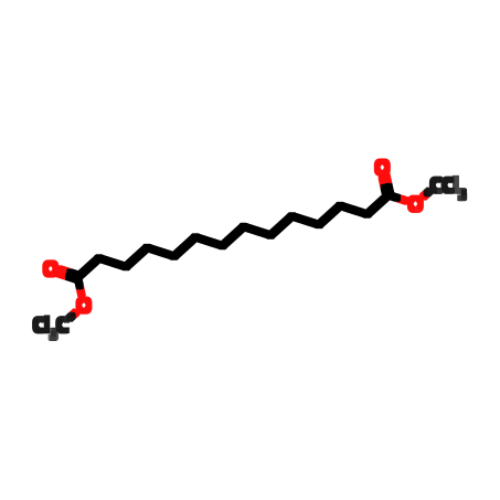 O=C(CCCCCCCCCCCCC(=O)OC(Cl)(Cl)Cl)OC(Cl)(Cl)Cl